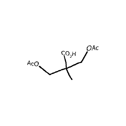 CC(=O)OCC(C)(COC(C)=O)C(=O)O